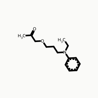 CCN(CCCOCC(C)=O)c1ccccc1